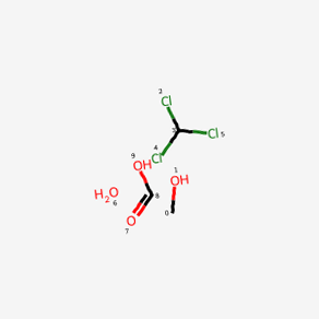 CO.ClC(Cl)Cl.O.O=CO